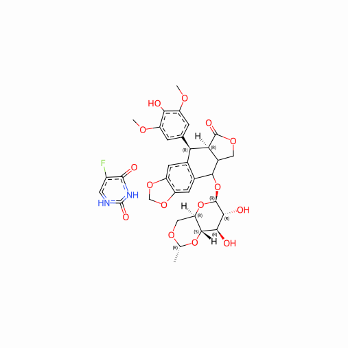 COc1cc([C@@H]2c3cc4c(cc3C(O[C@@H]3O[C@@H]5CO[C@@H](C)O[C@H]5[C@H](O)[C@H]3O)C3COC(=O)[C@@H]32)OCO4)cc(OC)c1O.O=c1[nH]cc(F)c(=O)[nH]1